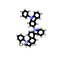 Cc1ccccc1-n1ccc2ccc3c(ccc4c3c3ccccc3n4-c3ccc4c(c3)c3ccccc3n4-c3ccccc3)c21